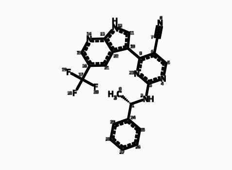 C[C@H](Nc1ncc(C#N)c(-c2c[nH]c3ncc(C(F)(F)F)cc23)n1)c1ccccc1